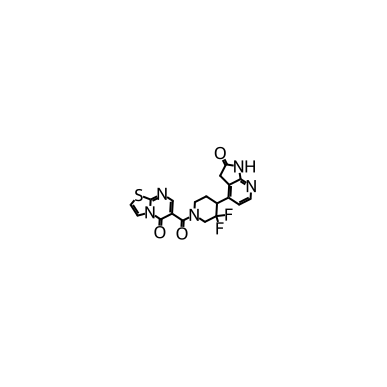 O=C1Cc2c(C3CCN(C(=O)c4cnc5sccn5c4=O)CC3(F)F)ccnc2N1